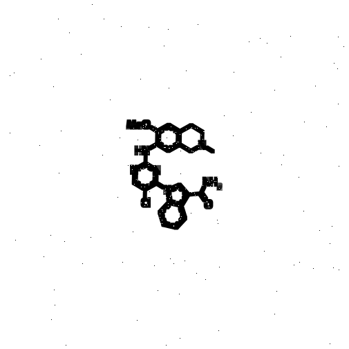 COc1cc2c(cc1Nc1ncc(Cl)c(-n3cc(C(N)=O)c4ccccc43)n1)CN(C)CC2